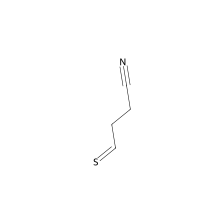 N#CCCC=S